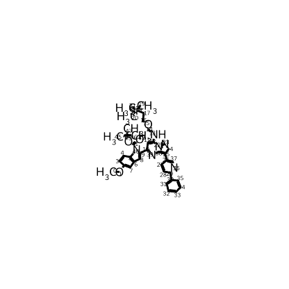 COc1ccc2c(c1)cc(-c1cc(NCOCC[Si](C)(C)C)n3ncc(-c4ccc(-c5ccccc5)nc4)c3n1)n2C(=O)OC(C)(C)C